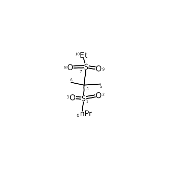 CCCS(=O)(=O)C(C)(C)S(=O)(=O)CC